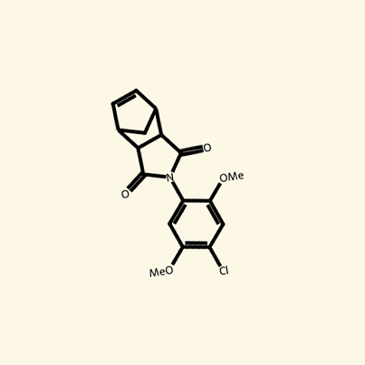 COc1cc(N2C(=O)C3C4C=CC(C4)C3C2=O)c(OC)cc1Cl